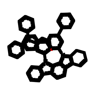 C1=Cc2c(n(-c3cc(-c4ccccc4)cc(-c4ccccc4)c3)c3c2ccc2c4ccccc4n(-c4cccc(N(c5ccccc5)c5ccccc5)c4)c23)CC1